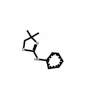 CC1(C)COC(Nc2ccccc2)=N1